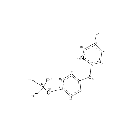 Cc1ccc(Sc2ccc(OC(F)(F)F)cc2)nc1